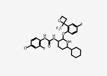 O=C(Nc1ccc(Cl)cc1F)NC1CCC(C2CCCCC2)NC1Oc1ccc(F)cc1C1(C(F)(F)F)CCO1